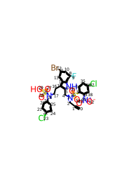 C#CCN(Cc1[nH]c2c(F)cc(Br)cc2c1CCN(c1ccc(Cl)cc1)S(=O)(=O)O)S(=O)(=O)c1ccc(Cl)cc1[N+](=O)[O-]